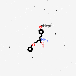 CCCCCCCOc1ccc(CC[C@@](N)(CO)CCCOCc2ccccc2)cc1